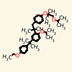 CCOc1ccc(C(C)(C)c2ccc(OC(C)C)c(C(C)(C)Cc3ccc(OC(C)(C)COC(C)C)cc3)c2)cc1